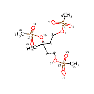 CC(CCOS(C)(=O)=O)(CCOS(C)(=O)=O)OS(C)(=O)=O